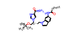 CCCCCC(=O)Nc1ccc2ccn(CC[C@H](CO[Si](C)(C)C(C)(C)C)n3cnc(C(N)=O)c3)c2c1